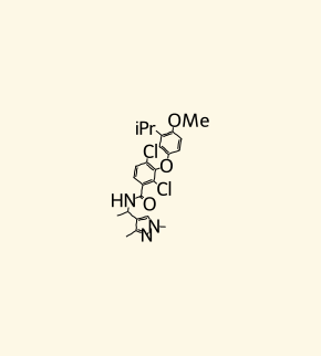 COc1ccc(Oc2c(Cl)ccc(C(=O)NC(C)c3cn(C)nc3C)c2Cl)cc1C(C)C